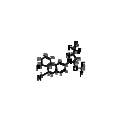 N#C/C(=C/c1ccc(-n2nc(C(F)(F)F)cc2OC(F)F)cc1)c1ccccc1F